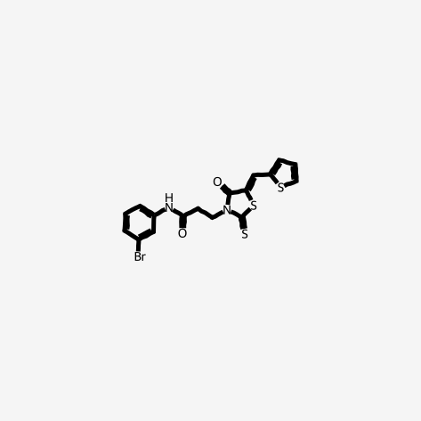 O=C(CCN1C(=O)/C(=C/c2cccs2)SC1=S)Nc1cccc(Br)c1